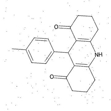 Cc1ccc(C2C3=C(CCCC3=O)NC3=C2C(=O)CCC3)cc1